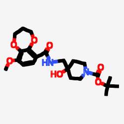 COc1ccc(C(=O)NCC2(O)CCN(C(=O)OC(C)(C)C)CC2)c2c1OCCCO2